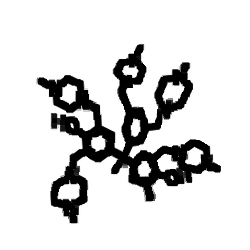 Cc1cc([C@@](C)(c2cc(CN3CCN(C)CC3)cc(CN3CCN(C)CC3)c2)c2cc(CN3CCN(C)CC3)c(O)c(CN3CCN(C)CC3)c2)cc(CN2CCN(C)CC2)c1O